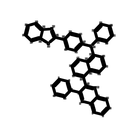 c1ccc(-c2nc3ccccc3nc2-c2cccc3c(N(c4ccccc4)c4ccc(-c5nc6ccccc6o5)cc4)cccc23)cc1